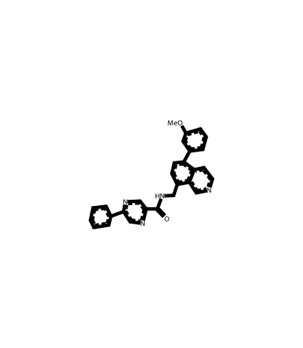 COc1cccc(-c2ccc(CNC(=O)c3cnc(-c4ccccc4)cn3)c3cnccc23)c1